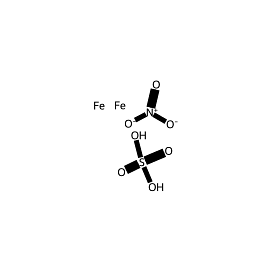 O=S(=O)(O)O.O=[N+]([O-])[O-].[Fe].[Fe]